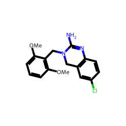 COc1cccc(OC)c1CN1Cc2cc(Cl)ccc2N=C1N